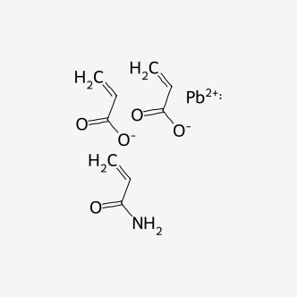 C=CC(=O)[O-].C=CC(=O)[O-].C=CC(N)=O.[Pb+2]